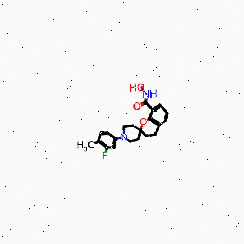 Cc1ccc(N2CCC3(CCc4cccc(C(=O)NO)c4O3)CC2)cc1F